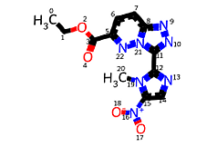 CCOC(=O)c1ccc2nnc(-c3ncc([N+](=O)[O-])n3C)n2n1